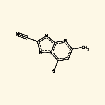 Cc1cc([S])n2nc(C#N)nc2n1